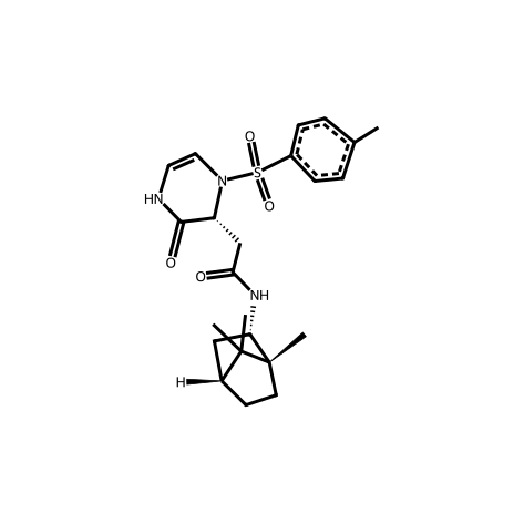 Cc1ccc(S(=O)(=O)N2C=CNC(=O)[C@H]2CC(=O)N[C@H]2C[C@H]3CC[C@]2(C)C3(C)C)cc1